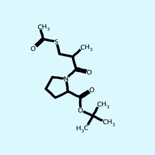 CC(=O)SCC(C)C(=O)N1CCCC1C(=O)OC(C)(C)C